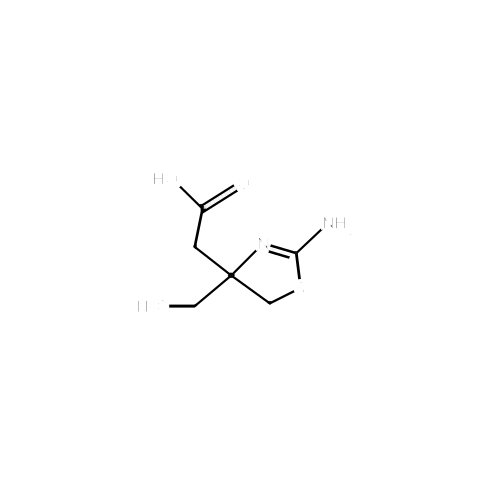 CCC1(CC(=O)O)CSC(N)=N1